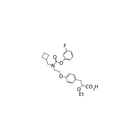 CCOC(Cc1ccc(OCCN(CC2CCC2)C(=O)Oc2cccc(F)c2)cc1)C(=O)O